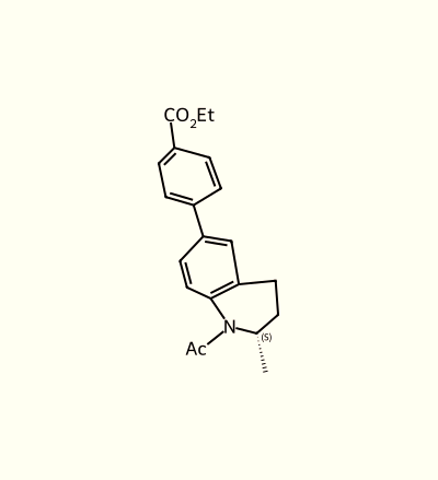 CCOC(=O)c1ccc(-c2ccc3c(c2)CC[C@H](C)N3C(C)=O)cc1